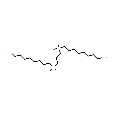 CCCCCCCCCCCCCCCCCC[Si](C)(Cl)CCC[Si](C)(Cl)CCCCCCCCCCCCCCCCCC